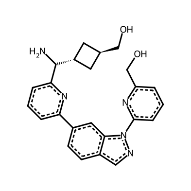 NC(c1cccc(-c2ccc3cnn(-c4cccc(CO)n4)c3c2)n1)[C@H]1C[C@H](CO)C1